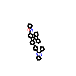 c1ccc(-c2nc3ccccc3nc2-c2ccc(-c3ccc4c(c3)C3(c5ccccc5-c5ccccc53)c3cc(-c5nc6ccccc6o5)ccc3-4)cc2)cc1